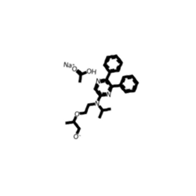 CC(=O)O.CC(C[O-])OCCN(c1cnc(-c2ccccc2)c(-c2ccccc2)n1)C(C)C.[Na+]